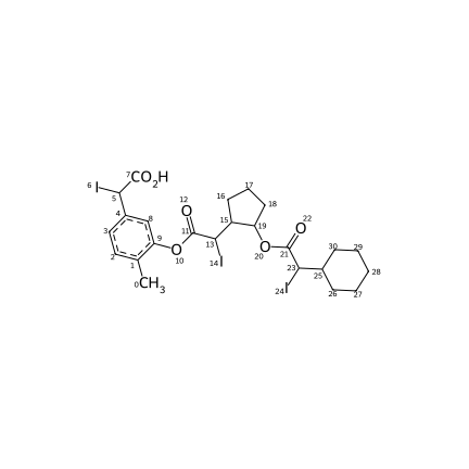 Cc1ccc(C(I)C(=O)O)cc1OC(=O)C(I)C1CCCC1OC(=O)C(I)C1CCCCC1